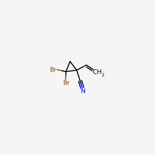 C=CC1(C#N)CC1(Br)Br